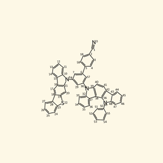 N#Cc1ccc(-c2cc(-n3c4ccccc4c4cc5c(cc43)sc3ccccc35)cc(-n3c4ccccc4c4c3ccc3c5ccccc5n(-c5ccccc5)c34)c2)cc1